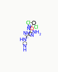 N=C/C(=C\NC1CCNCC1)c1cnc(N)c(-c2nnc(-c3c(Cl)cccc3Cl)o2)c1